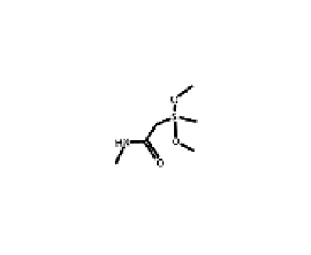 CNC(=O)C[Si](C)(OC)OC